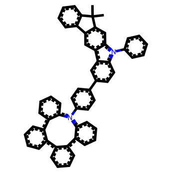 CC1(C)c2ccccc2-c2cc3c4cc(-c5ccc(-n6c7ccccc7c7ccccc7c7ccccc7c7ccccc76)cc5)ccc4n(-c4ccccc4)c3cc21